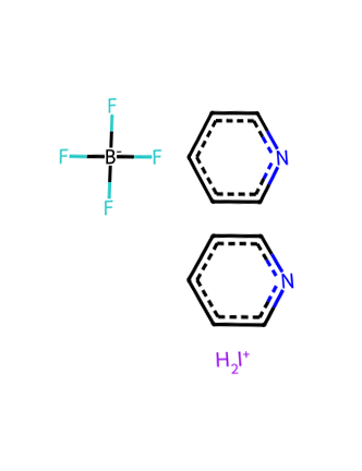 F[B-](F)(F)F.[IH2+].c1ccncc1.c1ccncc1